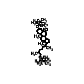 CC(CCC[C@@H](C)C1CCC2C3CC(=O)[C@H]4C[C@@H](O[Si](C)(C)C(C)(C)C)CC[C@]4(C)C3CC[C@@]21C)CO[Si](C)(C)C(C)(C)C